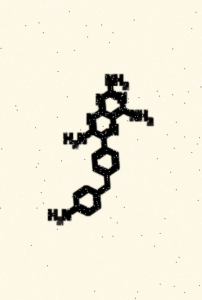 Nc1ccc(Cc2ccc(-c3nc4c(N)nc(N)nc4nc3N)cc2)cc1